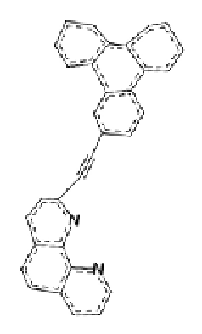 C(#Cc1ccc2ccc3cccnc3c2n1)c1ccc2c3ccccc3c3ccccc3c2c1